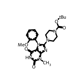 COc1ccccc1-n1c(N2CCN(C(=O)OC(C)(C)C)CC2)nc2c1c(=O)[nH]c(=O)n2C